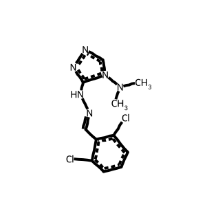 CN(C)n1cnnc1NN=Cc1c(Cl)cccc1Cl